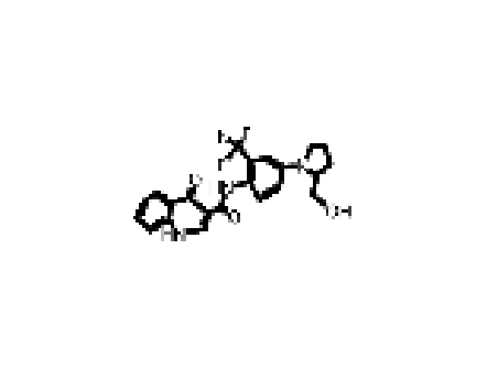 O=C(Nc1ccc(N2CCCC2CO)cc1C(F)(F)F)c1c[nH]c2ccccc2c1=O